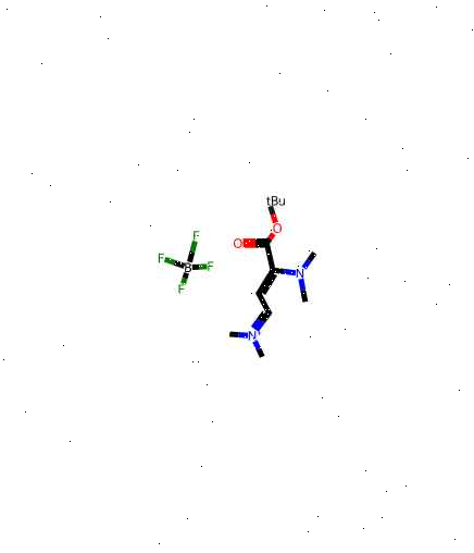 CN(C)C(=CC=[N+](C)C)C(=O)OC(C)(C)C.F[B-](F)(F)F